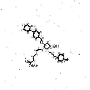 COC(=O)CCC/C=C\C[C@@H]1[C@@H](COCc2ccc(F)cc2)[C@@H](O)C[C@H]1OCc1ccc(-c2ccccc2)cc1